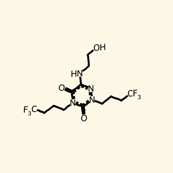 O=c1c(NCCO)nn(CCCC(F)(F)F)c(=O)n1CCCC(F)(F)F